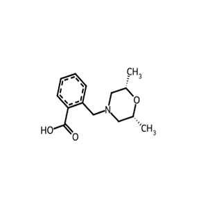 C[C@@H]1CN(Cc2ccccc2C(=O)O)C[C@H](C)O1